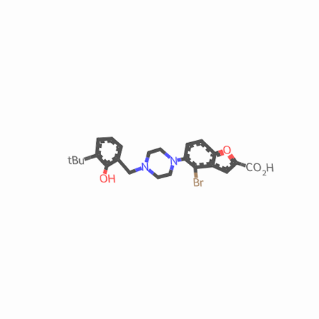 CC(C)(C)c1cccc(CN2CCN(c3ccc4oc(C(=O)O)cc4c3Br)CC2)c1O